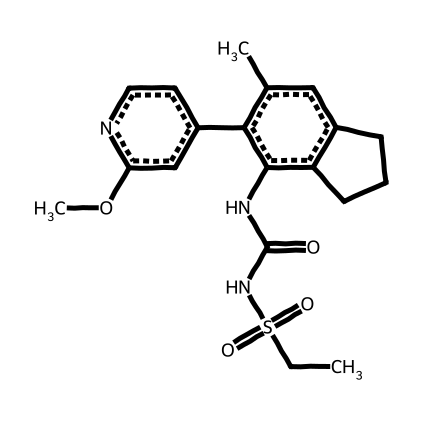 CCS(=O)(=O)NC(=O)Nc1c2c(cc(C)c1-c1ccnc(OC)c1)CCC2